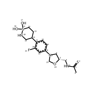 CC(=S)NC[C@H]1CN(c2ccc(C3CCS(O)(O)NC3)c(F)c2)CO1